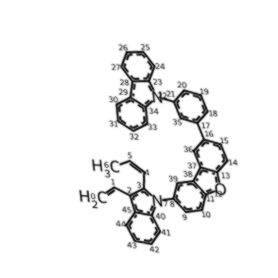 C=Cc1c(/C=C\C)n(-c2ccc3oc4ccc(-c5cccc(-n6c7ccccc7c7ccccc76)c5)cc4c3c2)c2ccccc12